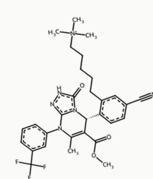 COC(=O)C1=C(C)N(c2cccc(C(F)(F)F)c2)c2n[nH]c(=O)n2[C@@H]1c1ccc(C#N)cc1CCCCC[N+](C)(C)C